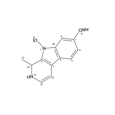 CCn1c2c(c3ccc(OC)cc31)C=CNC2C